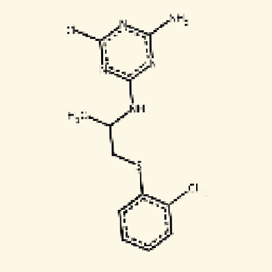 Cc1ccccc1SCC(C)Nc1nc(N)nc(Cl)n1